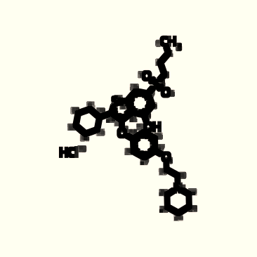 CCCCS(=O)(=O)c1cc(O)c2c(Oc3ccc(OCCN4CCCCC4)cc3)c(C3CCCCC3)sc2c1.Cl